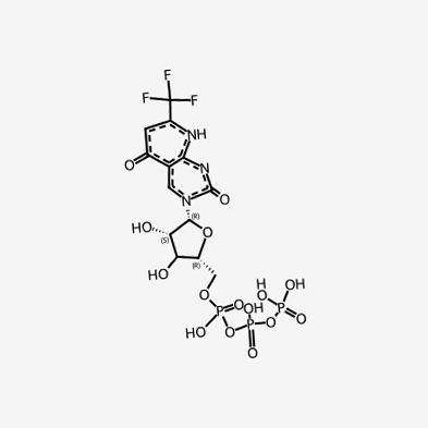 O=c1cc(C(F)(F)F)[nH]c2nc(=O)n([C@@H]3O[C@H](COP(=O)(O)OP(=O)(O)OP(=O)(O)O)C(O)[C@@H]3O)cc12